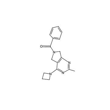 Cc1nc2c(c(N3CCC3)n1)CN(C(=O)c1ccccc1)C2